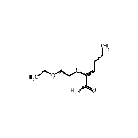 CCCC=C(OCCOCC)C(N)=O